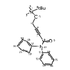 CC(C)(C)[Si](C)(C)OCC#CC(=O)N(c1ccccc1)c1ccccc1